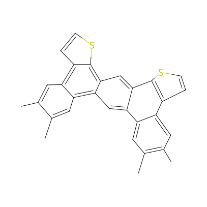 Cc1cc2c(cc1C)c1ccsc1c1cc3c(cc21)c1cc(C)c(C)cc1c1ccsc13